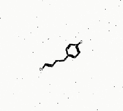 CCC=CCCc1ccc([O])cc1